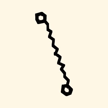 c1ccc(CCCCCCCOCCCCCCCc2ccccc2)cc1